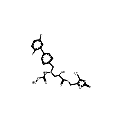 Cc1oc(=O)oc1COC(=O)[C@H](O)CN(Cc1ccc(-c2cc(Cl)ccc2F)cc1)NC(=O)OC(C)(C)C